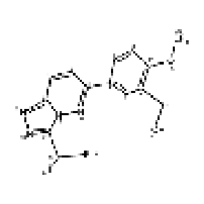 OCc1cc(-c2ccc3nnc(C(F)F)n3n2)ccc1OC(F)(F)F